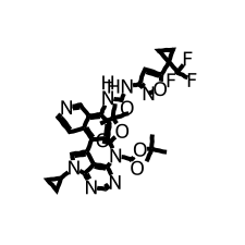 CC(C)(C)OC(=O)N(C(=O)OC(C)(C)C)c1ncnc2c1c(-c1ccc(NC(=O)Nc3cc(C4(C(F)(F)F)CC4)on3)c3cnccc13)cn2C1CC1